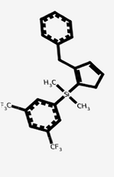 C[Si](C)(C1=C(Cc2ccccc2)C=CC1)c1cc(C(F)(F)F)cc(C(F)(F)F)c1